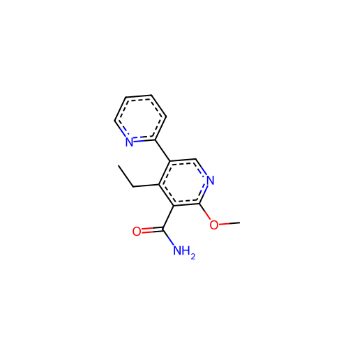 CCc1c(-c2ccccn2)cnc(OC)c1C(N)=O